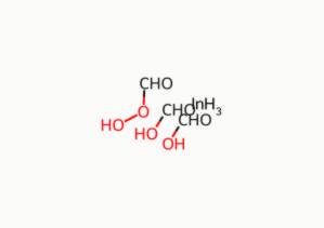 O=CO.O=CO.O=COO.[InH3]